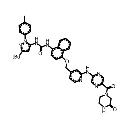 Cc1ccc(-n2nc(C(C)(C)C)cc2NC(=O)Nc2ccc(OCc3ccnc(Nc4cnc(C(=O)N5CCNC(=O)C5)cn4)c3)c3ccccc23)cc1